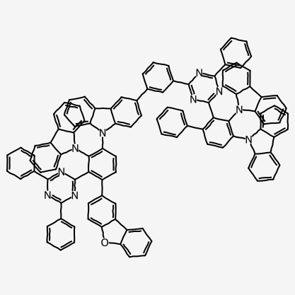 c1ccc(-c2nc(-c3cccc(-c4ccc5c(c4)c4ccccc4n5-c4ccc(-c5ccc6oc7ccccc7c6c5)c(-c5nc(-c6ccccc6)nc(-c6ccccc6)n5)c4-n4c5ccccc5c5ccccc54)c3)nc(-c3c(-c4ccccc4)ccc(-n4c5ccccc5c5ccccc54)c3-n3c4ccccc4c4ccccc43)n2)cc1